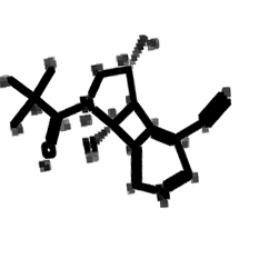 C#Cc1cncc2c1C1[C@@H]2N(C(=O)C(C)(C)C)C[C@@H]1C